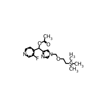 CC(=O)OC(c1cn(COCC[Si](C)(C)C)cn1)c1ccncc1F